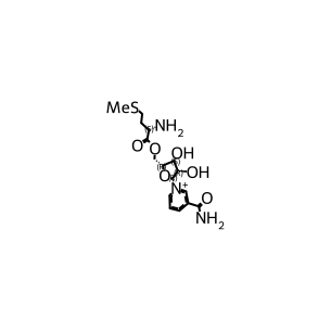 CSCC[C@H](N)C(=O)OC[C@H]1O[C@@H]([n+]2cccc(C(N)=O)c2)[C@H](O)[C@@H]1O